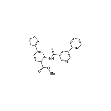 CC(C)(C)OC(=O)c1ccc(-c2ccsc2)cc1NC(=O)c1cncc(-c2ccccc2)c1